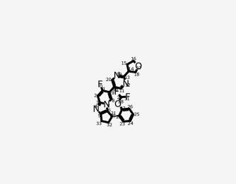 Fc1cc2nc3c(n2cc1-c1cnc(C2CCOC2)nc1)[C@@H](c1ccccc1OC(F)F)CC3